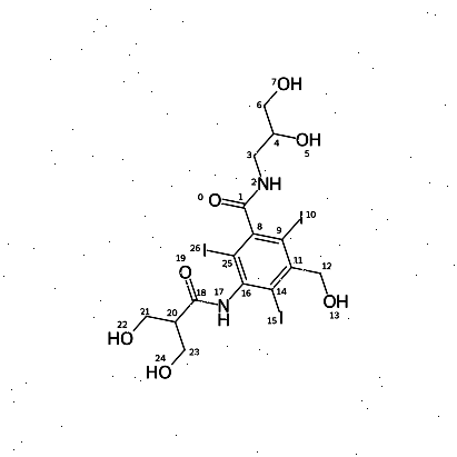 O=C(NCC(O)CO)c1c(I)c(CO)c(I)c(NC(=O)C(CO)CO)c1I